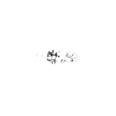 C=C(CC1O[C@]2(O)[C@@H]([C@H]3CC[C@@H]4[C@@]5(C)CC[C@H](O)C(C)(C)[C@@H]5CC[C@@]4(C)[C@]3(C)[C@H]2O)[C@@]1(C)O)C(C)C